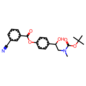 CN(CC(O)c1ccc(OC(=O)c2cccc(C#N)c2)cc1)C(=O)OC(C)(C)C